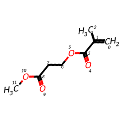 C=C(C)C(=O)OCCC(=O)OC